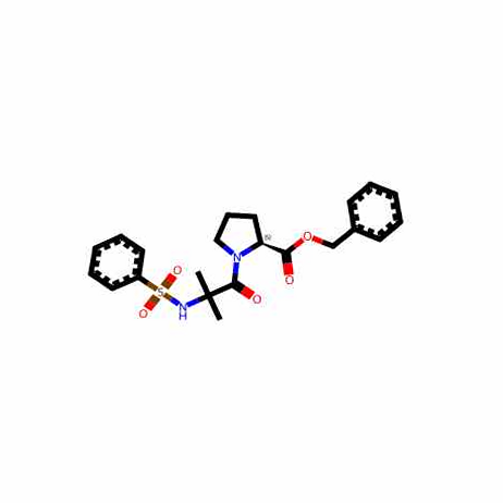 CC(C)(NS(=O)(=O)c1ccccc1)C(=O)N1CCC[C@H]1C(=O)OCc1ccccc1